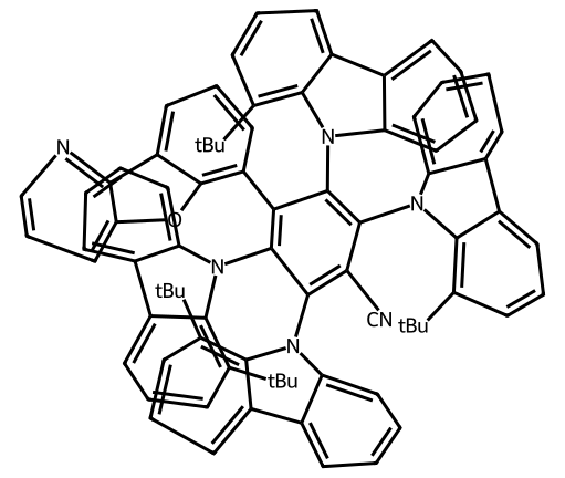 CC(C)(C)c1cccc2c3ccccc3n(-c3c(C#N)c(-n4c5ccccc5c5cccc(C(C)(C)C)c54)c(-n4c5ccccc5c5cccc(C(C)(C)C)c54)c(-c4cccc5c4oc4cccnc45)c3-n3c4ccccc4c4cccc(C(C)(C)C)c43)c12